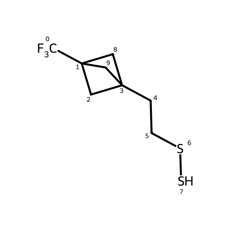 FC(F)(F)C12CC(CCSS)(C1)C2